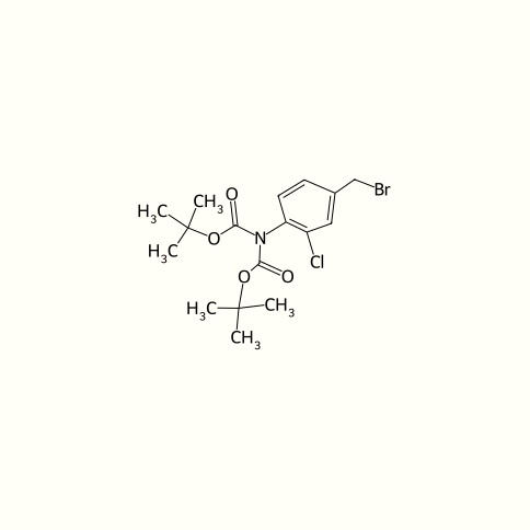 CC(C)(C)OC(=O)N(C(=O)OC(C)(C)C)c1ccc(CBr)cc1Cl